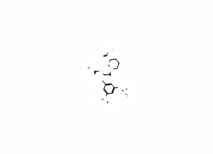 COC(=O)[C@@H]1CCCN(C(=O)[C@H](Cc2cc(O[Si](C(C)C)(C(C)C)C(C)C)cc(B(O)O)c2)NC(=O)OC(C)(C)C)N1